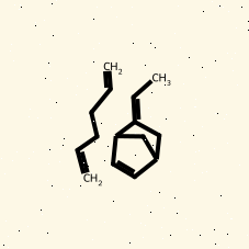 C=CCCC=C.CC=C1CC2C=CC1C2